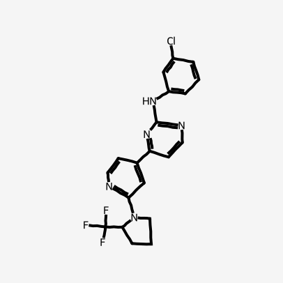 FC(F)(F)C1CCCN1c1cc(-c2ccnc(Nc3cccc(Cl)c3)n2)ccn1